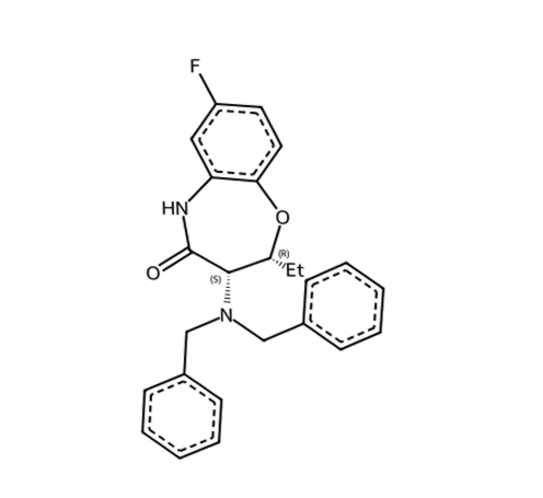 CC[C@H]1Oc2ccc(F)cc2NC(=O)[C@H]1N(Cc1ccccc1)Cc1ccccc1